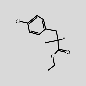 CCOC(=O)C(F)(F)Cc1ccc(Cl)cc1